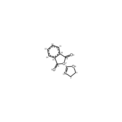 C1=NCCO1.O=C1OC(=O)c2ccccc21